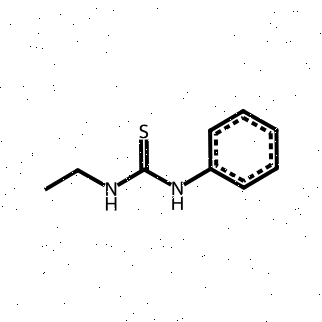 CCNC(=S)Nc1ccccc1